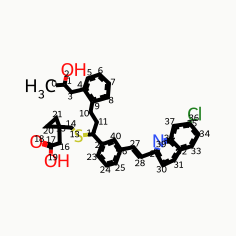 CC(O)Cc1ccccc1CCC(SCC1(CC(=O)O)CC1)c1cccc(C=Cc2ccc3ccc(Cl)cc3n2)c1